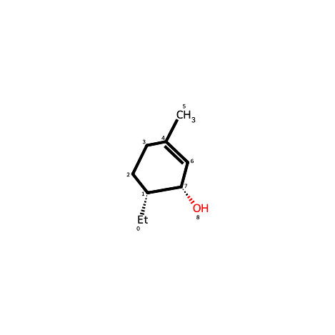 CC[C@@H]1CCC(C)=C[C@@H]1O